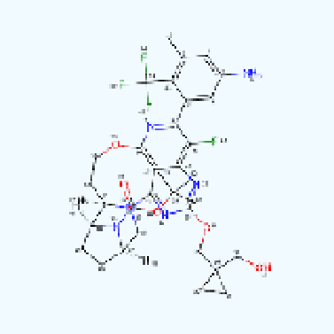 Cc1cc(N)cc(-c2nc3c4c(nc(OCC5(CO)CC5)nc4c2F)N2C[C@H]4CC[C@@H]([C@H]2CCO3)N4C(=O)OC(C)(C)C)c1C(F)(F)F